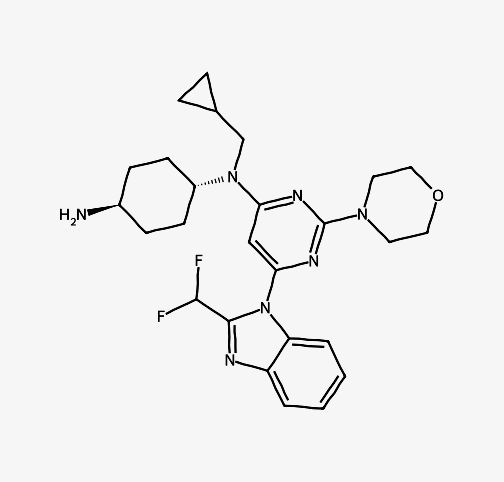 N[C@H]1CC[C@H](N(CC2CC2)c2cc(-n3c(C(F)F)nc4ccccc43)nc(N3CCOCC3)n2)CC1